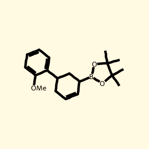 COc1ccccc1C1CC=CC(B2OC(C)(C)C(C)(C)O2)C1